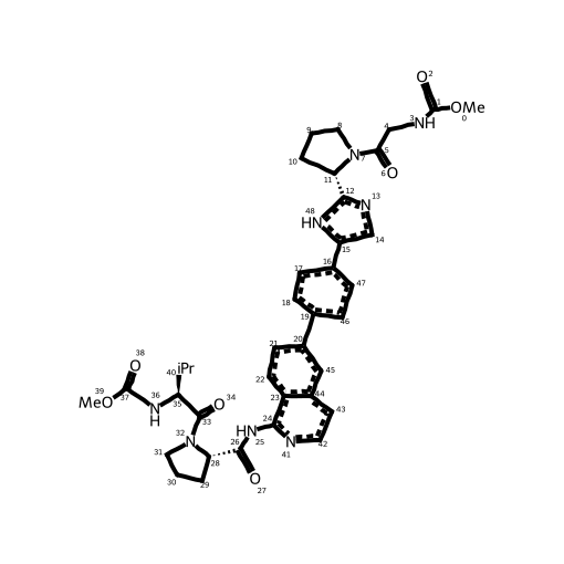 COC(=O)NCC(=O)N1CCC[C@H]1c1ncc(-c2ccc(-c3ccc4c(NC(=O)[C@@H]5CCCN5C(=O)[C@@H](NC(=O)OC)C(C)C)nccc4c3)cc2)[nH]1